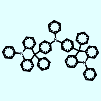 c1ccc(N(c2ccc(C3(c4ccccc4)c4ccccc4N(c4ccccc4)c4ccccc43)cc2)c2ccc(C3(c4ccccc4)c4ccccc4N(c4ccccc4)c4ccccc43)cc2)cc1